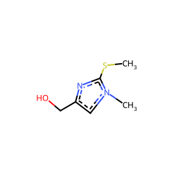 CSc1nc(CO)cn1C